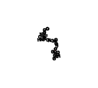 NC(=O)c1c(-c2ccc(Oc3ccccc3)cc2)nn2c1NCCC2C1CCN(C2CCN(C(=O)N3CCN(Cc4ccc5c(c4)C(=O)N(C4CCC(=O)NC4=O)C5=O)CC3)CC2)CC1